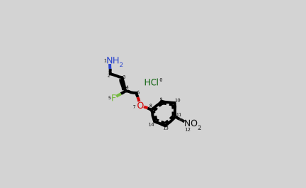 Cl.NC/C=C(\F)COc1ccc([N+](=O)[O-])cc1